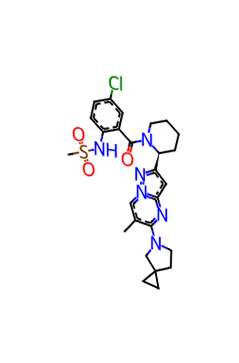 Cc1cn2nc([C@@H]3CCCCN3C(=O)c3cc(Cl)ccc3NS(C)(=O)=O)cc2nc1N1CCC2(CC2)C1